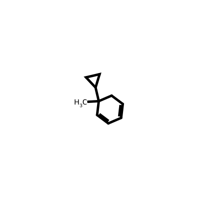 CC1(C2CC2)C=CC=CC1